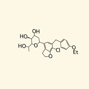 CCOc1ccc(Cc2cc(C3CC(O)[C@H](O)C(C(C)O)O3)c3c(c2Cl)OCC3)cc1